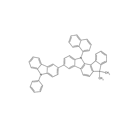 CC1(C)c2ccccc2-c2c1ccc1c3cc(-c4ccc5c(c4)c4ccccc4n5-c4ccccc4)ccc3n(-c3cccc4ccccc34)c21